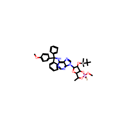 COc1ccc(C(Nc2ncnc3c2ncn3C2OC3C(C)OP(=S)(OC)OC3C2O[Si](C)(C)C(C)(C)C)(c2ccccc2)c2ccccc2)cc1